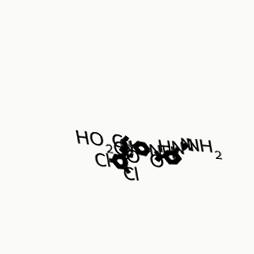 C[C@@H](C(=O)O)N(c1ccc(NC(=O)c2cccc(NC=NN)c2)cc1)S(=O)(=O)c1cc(Cl)cc(Cl)c1